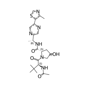 CC(=O)N[C@H](C(=O)N1C[C@H](O)C[C@H]1C(=O)N[C@H](C)c1cnc(-c2scnc2C)cn1)C(C)(C)C